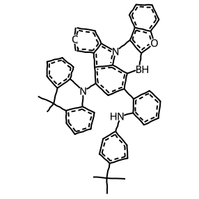 CC(C)(C)c1ccc(Nc2ccccc2-c2cc(N3c4ccccc4C(C)(C)c4ccccc43)c3c4ccccc4n4c3c2Bc2oc3ccccc3c2-4)cc1